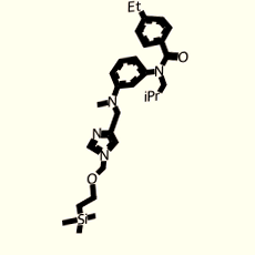 CCc1ccc(C(=O)N(CC(C)C)c2cccc(N(C)Cc3cn(COCC[Si](C)(C)C)cn3)c2)cc1